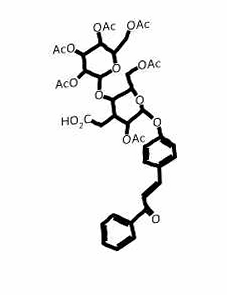 CC(=O)OCC1OC(Oc2ccc(C=CC(=O)c3ccccc3)cc2)C(OC(C)=O)C(CC(=O)O)C1OC1OC(COC(C)=O)C(OC(C)=O)C(OC(C)=O)C1OC(C)=O